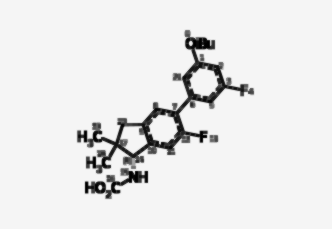 CC(C)COc1cc(F)cc(-c2cc3c(cc2F)[C@H](NC(=O)O)C(C)(C)C3)c1